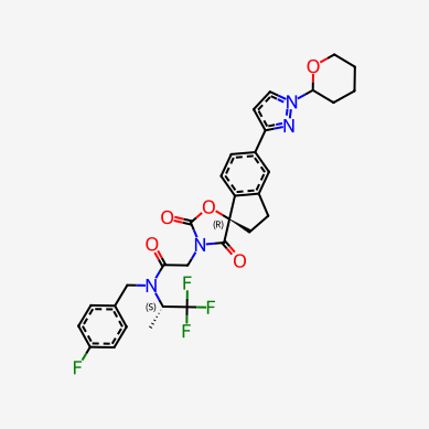 C[C@H](N(Cc1ccc(F)cc1)C(=O)CN1C(=O)O[C@@]2(CCc3cc(-c4ccn(C5CCCCO5)n4)ccc32)C1=O)C(F)(F)F